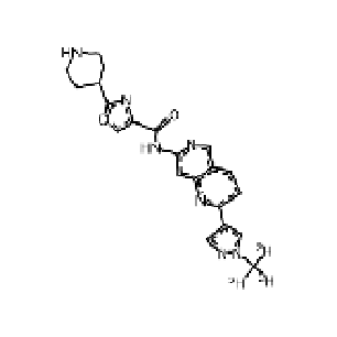 [2H]C([2H])([2H])n1cc(-c2ccc3cnc(NC(=O)c4coc(C5CCNCC5)n4)cc3n2)cn1